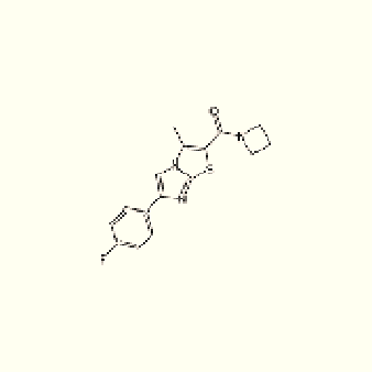 Cc1c(C(=O)N2CCC2)sc2nc(-c3ccc(F)cc3)cn12